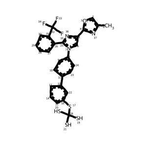 Cc1coc(-c2cn(-c3ccc(-c4cccc(SC(S)(S)S)c4)cc3)c(-c3ccccc3C(F)(F)F)n2)n1